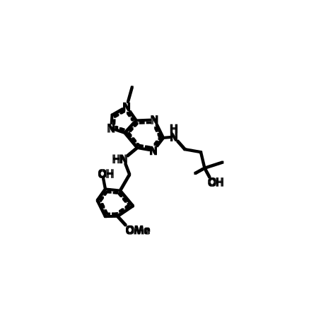 COc1ccc(O)c(CNc2nc(NCCC(C)(C)O)nc3c2ncn3C)c1